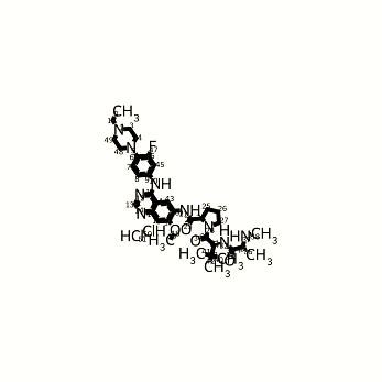 CCN1CCN(c2ccc(Nc3ncnc4cc(OC)c(NC(=O)C5CCCN5C(=O)[C@@H](NC(=O)[C@H](C)NC)C(C)(C)C)cc34)cc2F)CC1.Cl.Cl